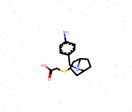 C[N+]1(Cc2ccc(N)cc2)C2CCC1CC(SCC(=O)O)C2